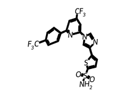 NS(=O)(=O)c1ccc(-c2cn(-c3cc(C(F)(F)F)cc(-c4ccc(C(F)(F)F)cc4)n3)cn2)s1